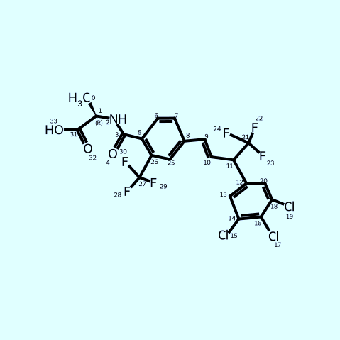 C[C@@H](NC(=O)c1ccc(C=CC(c2cc(Cl)c(Cl)c(Cl)c2)C(F)(F)F)cc1C(F)(F)F)C(=O)O